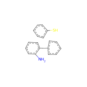 Nc1ccccc1-c1ccccc1.Sc1ccccc1